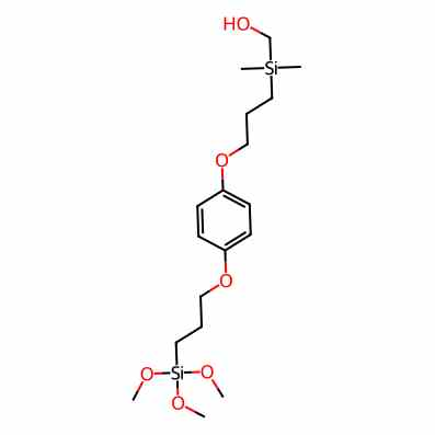 CO[Si](CCCOc1ccc(OCCC[Si](C)(C)CO)cc1)(OC)OC